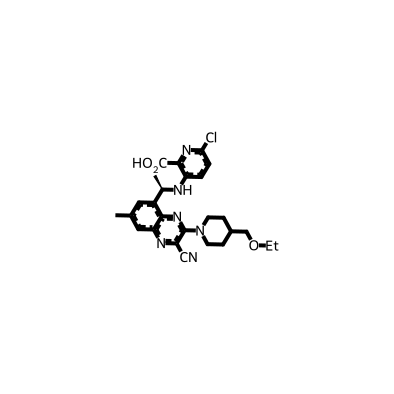 CCOCC1CCN(c2nc3c([C@@H](C)Nc4ccc(Cl)nc4C(=O)O)cc(C)cc3nc2C#N)CC1